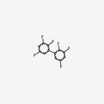 Fc1[c]c(F)c(F)c(-c2cc(F)cc(F)c2F)c1